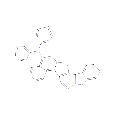 c1ccc(N(c2ccccc2)c2cc3oc4c(ccc5[nH]c6ccccc6c54)c3c3ccccc23)cc1